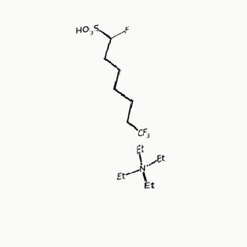 CC[N+](CC)(CC)CC.O=S(=O)(O)C(F)CCCCCC(F)(F)F